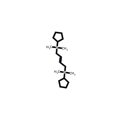 C[Si](C)(C/C=C/C[Si](C)(C)C1CCCC1)C1CCCC1